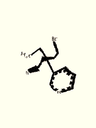 CCC(C#N)(CBr)c1cccnc1